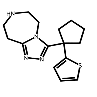 c1csc(C2(c3nnc4n3CCNCC4)CCCC2)c1